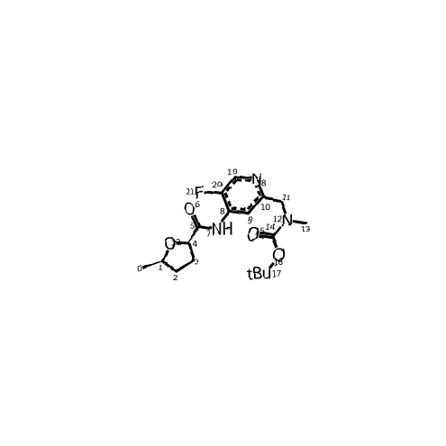 C[C@@H]1CC[C@H](C(=O)Nc2cc(CN(C)C(=O)OC(C)(C)C)ncc2F)O1